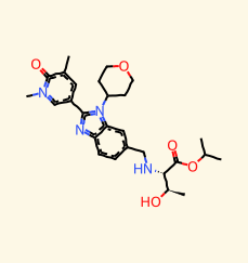 Cc1cc(-c2nc3ccc(CN[C@H](C(=O)OC(C)C)[C@@H](C)O)cc3n2C2CCOCC2)cn(C)c1=O